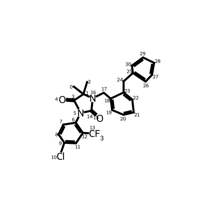 CC1(C)C(=O)N(c2ccc(Cl)cc2C(F)(F)F)C(=O)N1Cc1ccccc1Cc1ccccc1